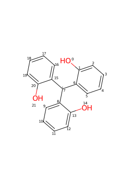 Oc1ccccc1[C](c1ccccc1O)c1ccccc1O